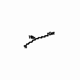 Br.CCCCCCCCCCCCCCCCCCCCCCCCN(C)C